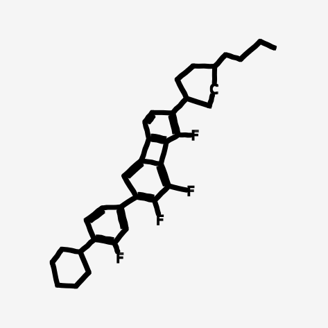 CCCCC1CCC(c2ccc3c(c2F)-c2c-3cc(-c3ccc(C4CCCCC4)c(F)c3)c(F)c2F)CC1